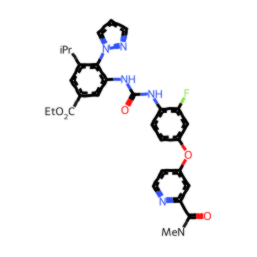 CCOC(=O)c1cc(NC(=O)Nc2ccc(Oc3ccnc(C(=O)NC)c3)cc2F)c(-n2cccn2)c(C(C)C)c1